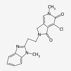 Cn1cc2c(c(Cl)c1=O)C(=O)N(CCc1nc3ccccc3n1C)C2